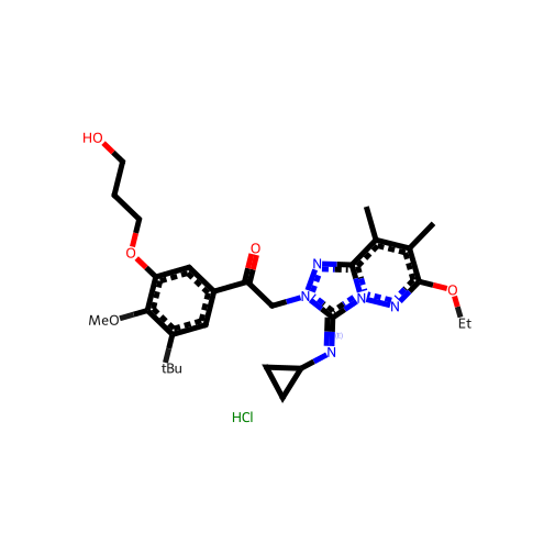 CCOc1nn2/c(=N/C3CC3)n(CC(=O)c3cc(OCCCO)c(OC)c(C(C)(C)C)c3)nc2c(C)c1C.Cl